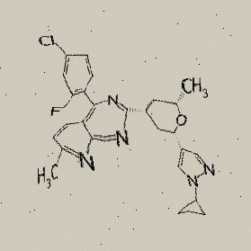 Cc1ccc2c(-c3ccc(Cl)cc3F)nc([C@H]3C[C@@H](c4cnn(C5CC5)c4)O[C@@H](C)C3)nc2n1